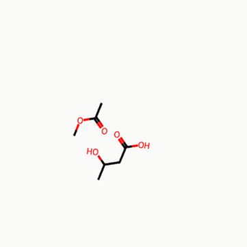 CC(O)CC(=O)O.COC(C)=O